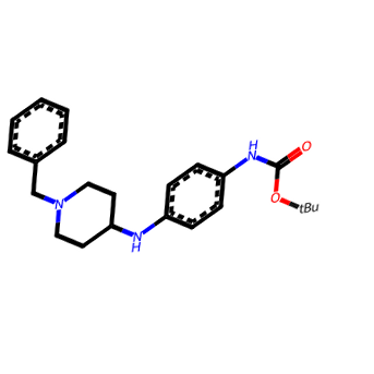 CC(C)(C)OC(=O)Nc1ccc(NC2CCN(Cc3ccccc3)CC2)cc1